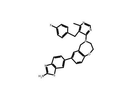 Cc1ncnc(N2CCOc3ccc(-c4ccc5nc(N)sc5c4)cc3C2)c1Cc1ccc(F)cc1